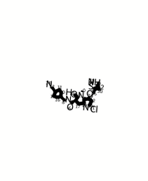 Cn1c(=O)c(C(=O)NCc2ccc(C#N)cc2)cc2nc(Cl)cc(OCC3(SN)CC3)c21